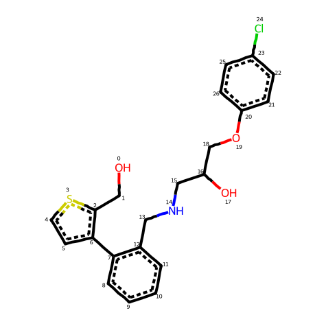 OCc1sccc1-c1ccccc1CNCC(O)COc1ccc(Cl)cc1